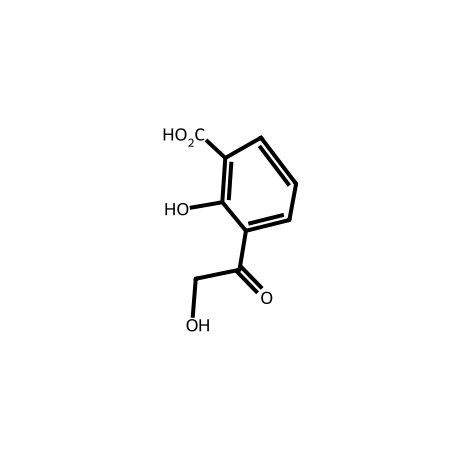 O=C(O)c1cccc(C(=O)CO)c1O